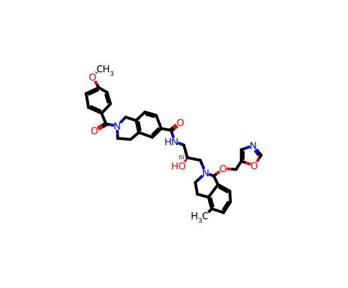 COc1ccc(C(=O)N2CCc3cc(C(=O)NC[C@H](O)CN4CCc5c(C)cccc5C4OCc4cnco4)ccc3C2)cc1